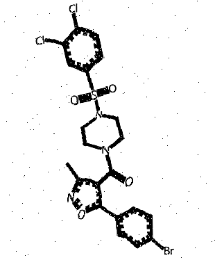 Cc1noc(-c2ccc(Br)cc2)c1C(=O)N1CCN(S(=O)(=O)c2ccc(Cl)c(Cl)c2)CC1